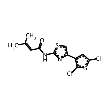 CC(C)=CC(=O)Nc1nc(-c2cc(Cl)sc2Cl)cs1